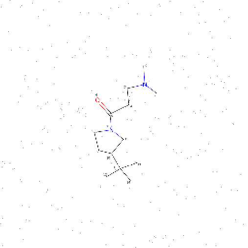 CN(C)CCC(=O)N1CCC(C(C)(C)C)C1